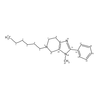 CCCCCCN1CCc2nc(-c3ccccc3)n(C)c2C1